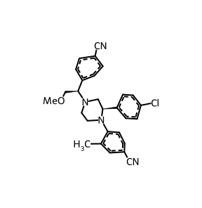 COC[C@@H](c1ccc(C#N)cc1)N1CCN(c2ccc(C#N)cc2C)[C@H](c2ccc(Cl)cc2)C1